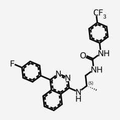 C[C@@H](CNC(=O)Nc1ccc(C(F)(F)F)cc1)Nc1nnc(-c2ccc(F)cc2)c2ccccc12